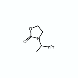 CCCC(C)N1CCOC1=O